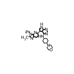 Cc1nc2ccc(-c3c[nH]c4ncnc(N[C@H]5CC[C@H](N6CCOCC6)CC5)c34)nc2n1C(C)C